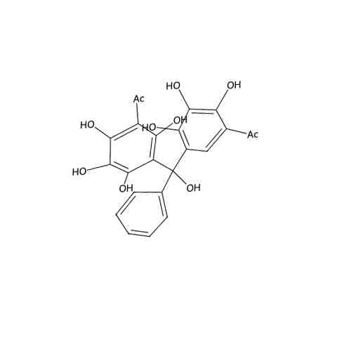 CC(=O)c1cc(C(O)(c2ccccc2)c2c(O)c(O)c(O)c(C(C)=O)c2O)c(O)c(O)c1O